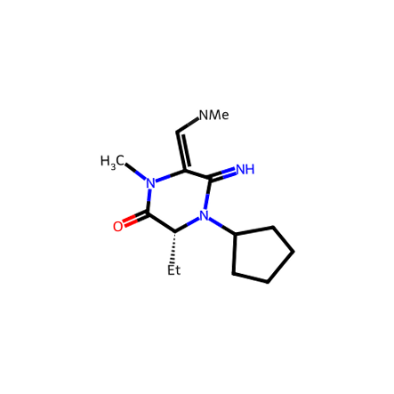 CC[C@@H]1C(=O)N(C)/C(=C/NC)C(=N)N1C1CCCC1